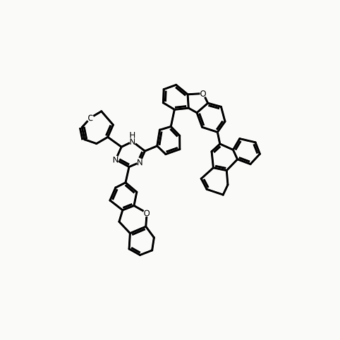 C1#CCC(C2N=C(c3ccc4c(c3)OC3=C(C=CCC3)C4)N=C(c3cccc(-c4cccc5oc6ccc(-c7cc8c(c9ccccc79)CCC=C8)cc6c45)c3)N2)=CCC1